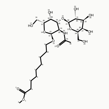 COC(=O)CCCCCCCCO[C@H]1O[C@H](CO)[C@H](O)[C@H](O[C@@H]2O[C@H](CO)[C@H](O)[C@H](O)[C@H]2O)[C@H]1NC(C)=O